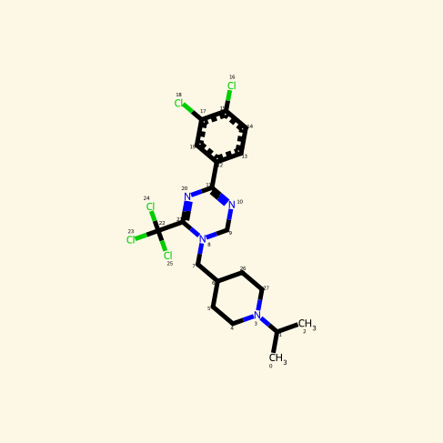 CC(C)N1CCC(CN2CN=C(c3ccc(Cl)c(Cl)c3)N=C2C(Cl)(Cl)Cl)CC1